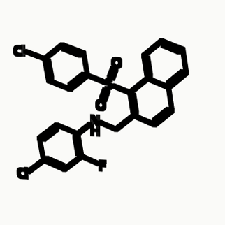 O=S(=O)(c1ccc(Cl)cc1)c1c(CNc2ccc(Cl)cc2F)ccc2ccccc12